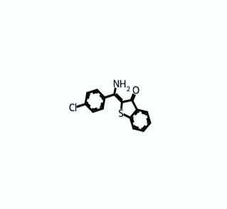 NC(=C1Sc2ccccc2C1=O)c1ccc(Cl)cc1